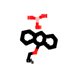 CCOc1c2ccccc2cc2ccccc12.OB(O)O